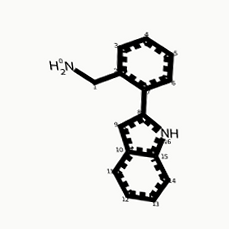 NCc1ccccc1-c1cc2ccccc2[nH]1